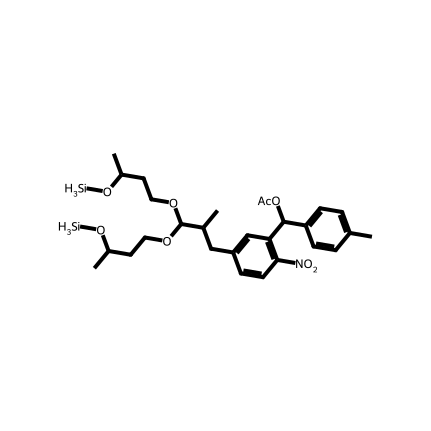 CC(=O)OC(c1ccc(C)cc1)c1cc(CC(C)C(OCCC(C)O[SiH3])OCCC(C)O[SiH3])ccc1[N+](=O)[O-]